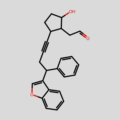 O=CCC1C(O)CCC1C#CCC(c1ccccc1)c1coc2ccccc12